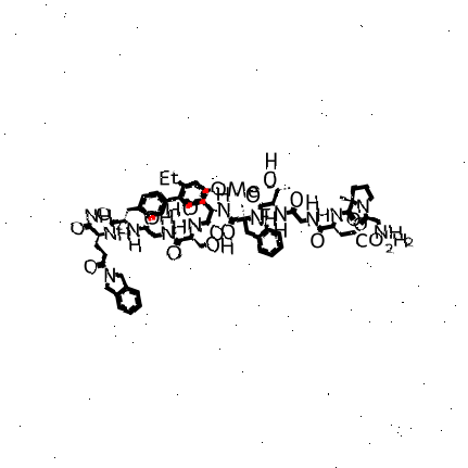 CCc1cc(OC)ccc1-c1ccc(C[C@H](NC(=O)CNC(=O)[C@H](CO)NC(=O)[C@@H](NC(=O)[C@](C)(Cc2ccccc2F)NC(=O)[C@@H](NC(=O)CNC(=O)[C@H](CCC(=O)O)NC(=O)[C@]2(C)CCCN2C(=O)CN)[C@@H](C)O)[C@@H](C)O)C(=O)N[C@@H](CCC(=O)N2Cc3ccccc3C2)C(N)=O)cc1